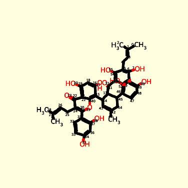 CC(C)=CCc1c(O)ccc(C(=O)C2C(c3c(O)cc(O)c4c(=O)c(CC=C(C)C)c(-c5ccc(O)cc5O)oc34)C=C(C)CC2c2ccc(O)cc2O)c1O